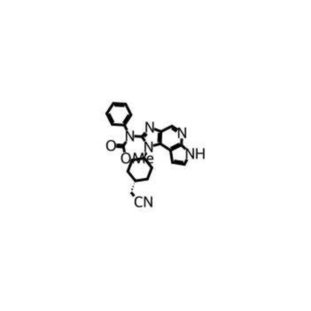 COC(=O)N(c1ccccc1)c1nc2cnc3[nH]ccc3c2n1[C@H]1CC[C@H](CC#N)CC1